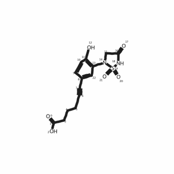 O=C(O)CCCC#Cc1ccc(O)c(N2CC(=O)NS2(=O)=O)c1